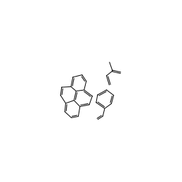 C=CC(=C)C.C=Cc1ccccc1.c1cc2ccc3cccc4ccc(c1)c2c34